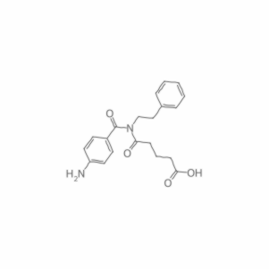 Nc1ccc(C(=O)N(CCc2ccccc2)C(=O)CCCC(=O)O)cc1